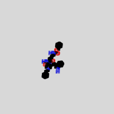 O=C(NCCCCC1NC(=O)C2(CCN(CCc3ccccc3)CC2)N(CCc2c[nH]c3ccccc23)C1=O)OCc1ccccc1